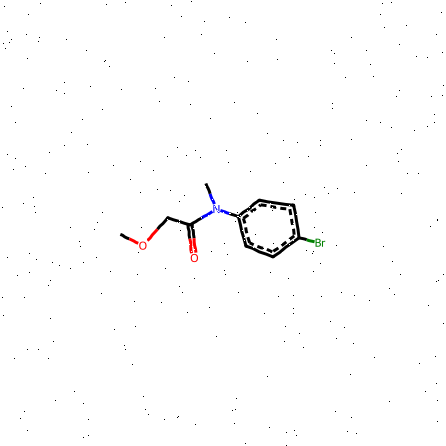 COCC(=O)N(C)c1ccc(Br)cc1